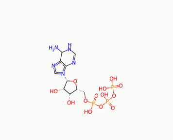 NC1NC=Nc2c1ncn2[C@@H]1O[C@H](COP(=O)(O)OP(=O)(O)OP(=O)(O)O)[C@H](O)[C@@H]1O